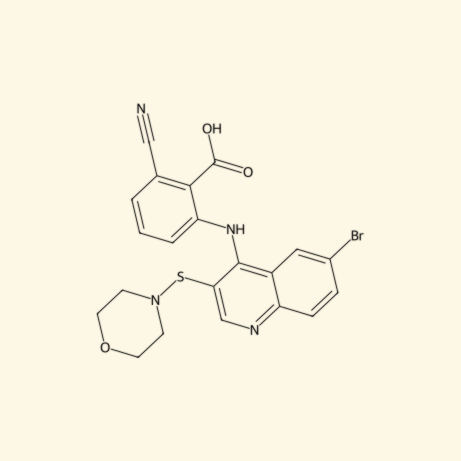 N#Cc1cccc(Nc2c(SN3CCOCC3)cnc3ccc(Br)cc23)c1C(=O)O